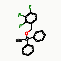 CC(C)(C)[Si](OCc1ccc(F)c(F)c1F)(c1ccccc1)c1ccccc1